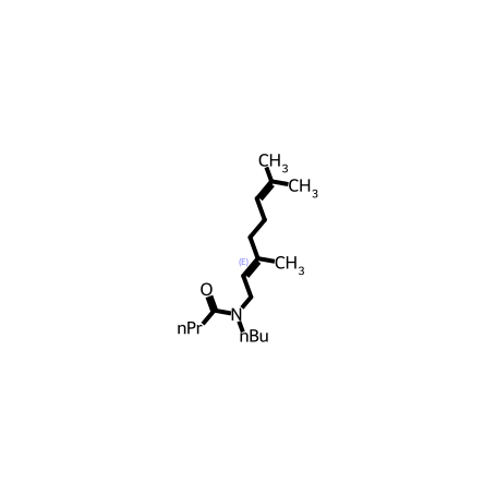 CCCCN(C/C=C(\C)CCC=C(C)C)C(=O)CCC